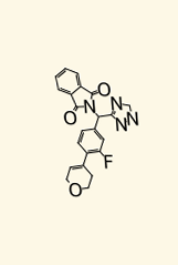 O=C1c2ccccc2C(=O)N1C(C1=NCN=N1)c1ccc(C2=CCOCC2)c(F)c1